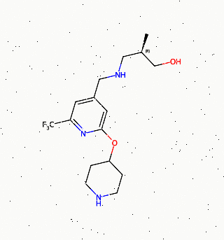 C[C@@H](CO)CNCc1cc(OC2CCNCC2)nc(C(F)(F)F)c1